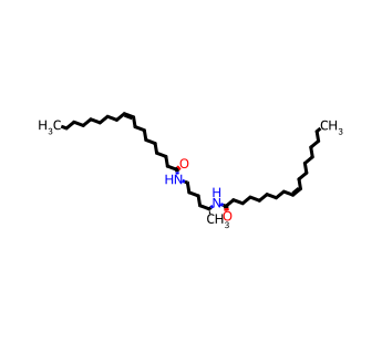 CCCCCCCC/C=C\CCCCCCCC(=O)NCCCC[C@@H](C)NC(=O)CCCCCCC/C=C\CCCCCCCC